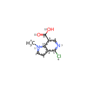 Cn1ccc2c(Cl)ncc(C(=O)O)c21